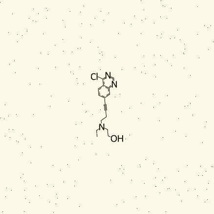 CCN(CCO)CCC#Cc1ccc2c(Cl)ncnc2c1